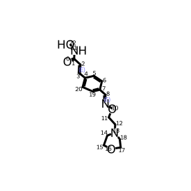 O=C(/C=C/c1ccc(/C=N/OCCN2CCOCC2)cc1)NO